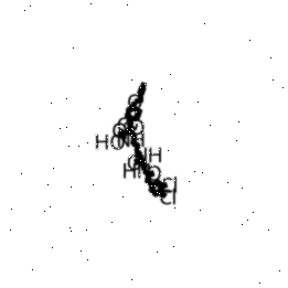 CC#CCOc1ccc(S(=O)(=O)C(CCCCNC(=O)CNC(=O)Cc2ccc(Cl)c(Cl)c2)C(=O)NO)cc1